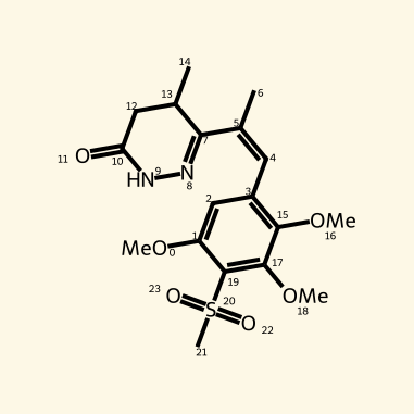 COc1cc(C=C(C)C2=NNC(=O)CC2C)c(OC)c(OC)c1S(C)(=O)=O